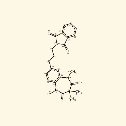 CCN1C(=O)C(C)(C)C(=O)N(C)c2cc(CCCN3C(=O)c4ccccc4C3=O)ccc21